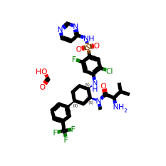 CC(C)C(N)C(=O)N(C)[C@H]1C[C@@H](c2cccc(C(F)(F)F)c2)CC[C@@H]1Nc1cc(F)c(S(=O)(=O)Nc2ccncn2)cc1Cl.O=CO